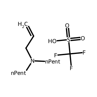 C=CCN(CCCCC)CCCCC.O=S(=O)(O)C(F)(F)F